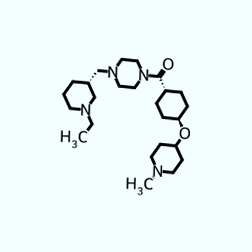 CCN1CCC[C@H](CN2CCN(C(=O)[C@H]3CC[C@H](OC4CCN(C)CC4)CC3)CC2)C1